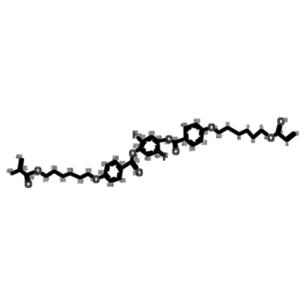 C=CC(=O)OCCCCCCOc1ccc(C(=O)Oc2cc(F)c(OC(=O)c3ccc(OCCCCCCOC(=O)C(=C)C)cc3)cc2F)cc1